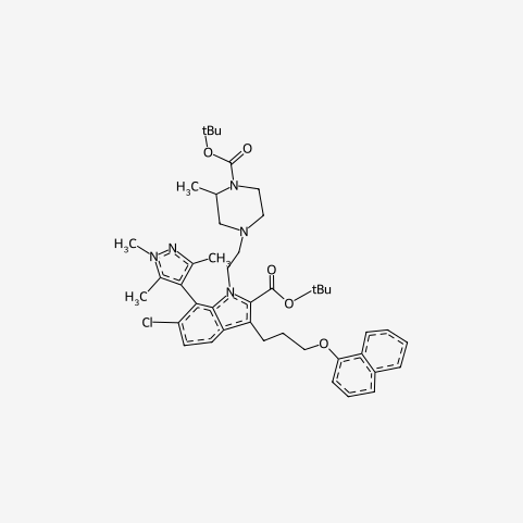 Cc1nn(C)c(C)c1-c1c(Cl)ccc2c(CCCOc3cccc4ccccc34)c(C(=O)OC(C)(C)C)n(CCN3CCN(C(=O)OC(C)(C)C)C(C)C3)c12